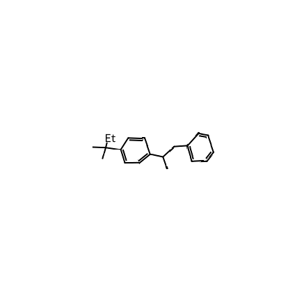 CCC(C)(C)c1ccc(C(C)Cc2ccccc2)cc1